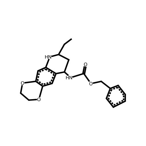 CCC1CC(NC(=O)OCc2ccccc2)c2cc3c(cc2N1)OCCO3